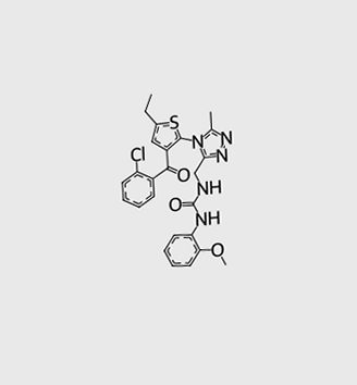 CCc1cc(C(=O)c2ccccc2Cl)c(-n2c(C)nnc2CNC(=O)Nc2ccccc2OC)s1